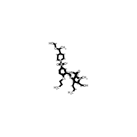 CCCOc1ccc(S(=O)(=O)N2CCC(C(C)OCO)CC2)cc1-c1nc2c(CCC)c(CO)n(C)c2c(=O)[nH]1